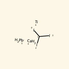 IC(I)I.[CaH2].[PbH2].[Ti]